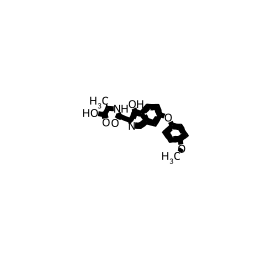 COc1ccc(Oc2ccc3c(O)c(C(=O)N[C@@H](C)C(=O)O)ncc3c2)cc1